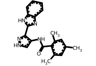 Cc1cc(C)c(C(=O)Nc2c[nH]nc2-c2nc3ccccc3[nH]2)c(C)c1